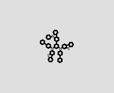 c1ccc(-c2ccc(N(c3cc(-c4ccc5c6ccccc6n(-c6ccccc6)c5c4)cc(N(c4ccc(-c5ccccc5)cc4)c4ccc5c(c4)sc4ccccc45)c3)c3ccc4c(c3)sc3ccccc34)cc2)cc1